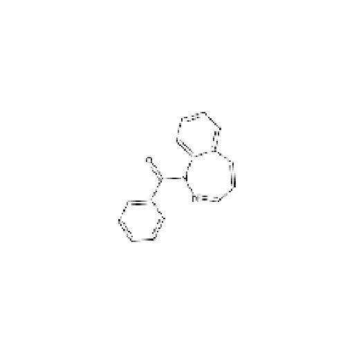 O=C(c1ccccc1)N1N=CC=Cc2ccccc21